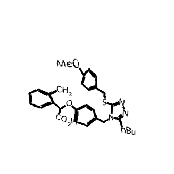 CCCCc1nnc(SCc2ccc(OC)cc2)n1Cc1ccc(OC(C(=O)O)c2ccccc2C)cc1